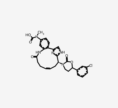 CN(C(=O)O)c1ccc2c(c1)NC(=O)CCC=CC[C@H](N1CCC(c3cccc(Cl)c3)OC1=O)c1nc-2c[nH]1